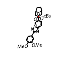 COc1ccc(-c2nc3ccc(C4CC5CCC(C4)N5C(=O)OC(C)(C)C)cn3n2)cc1OC